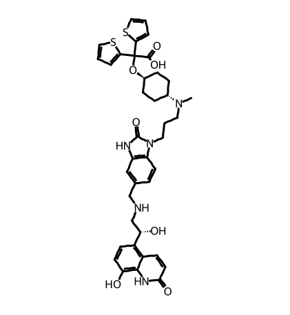 CN(CCCn1c(=O)[nH]c2cc(CNC[C@H](O)c3ccc(O)c4[nH]c(=O)ccc34)ccc21)[C@H]1CC[C@H](OC(C(=O)O)(c2cccs2)c2cccs2)CC1